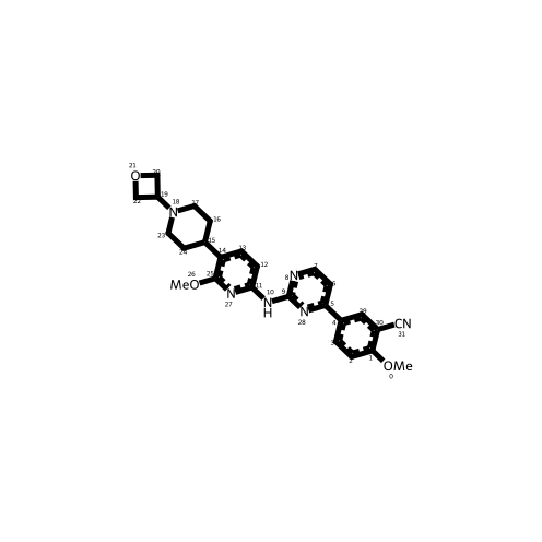 COc1ccc(-c2ccnc(Nc3ccc(C4CCN(C5COC5)CC4)c(OC)n3)n2)cc1C#N